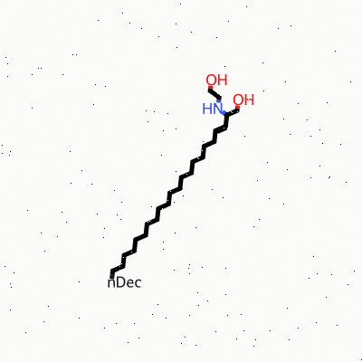 CCCCCCCCCCCCCCCCCCCCCCCCCCCC/C=C/C(CO)NCCO